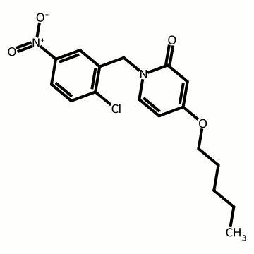 CCCCCOc1ccn(Cc2cc([N+](=O)[O-])ccc2Cl)c(=O)c1